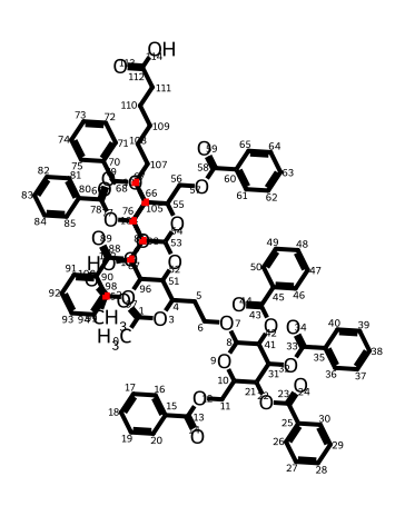 CC(=O)OC(CCOC1OC(COC(=O)c2ccccc2)C(OC(=O)c2ccccc2)C(OC(=O)c2ccccc2)C1OC(=O)c1ccccc1)C(OC1OC(COC(=O)c2ccccc2)C(OC(=O)c2ccccc2)C(OC(=O)c2ccccc2)C1OC(=O)c1ccccc1)C(OC(C)=O)C(O)OCCCCCCCCC(=O)O